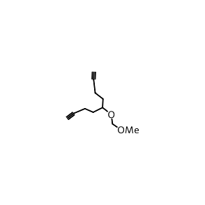 C#CCCC(CCC#C)OCOC